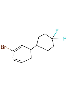 FC1(F)CCC(C2C=C(Br)C=CC2)CC1